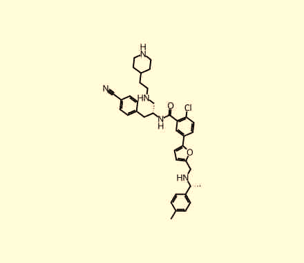 Cc1ccc([C@@H](C)NCc2ccc(-c3ccc(Cl)c(C(=O)N[C@@H](CNCCC4CCNCC4)Cc4ccc(C#N)cc4)c3)o2)cc1